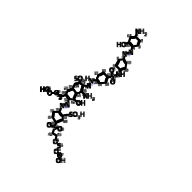 Nc1ccc(/N=N/c2ccc(NS(=O)(=O)c3ccc(/N=N/c4c(S(=O)(=O)O)cc5cc(SOOO)c(/N=N/c6ccc(S(=O)(=O)CCOSOOO)cc6S(=O)(=O)O)c(O)c5c4N)cc3)cc2)c(O)c1